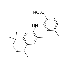 CC1=CCC(C)(C)c2cc(Nc3cc(C)ccc3C(=O)O)c(C)cc21